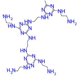 Cc1nc(NCCN)nc(NCCNc2nc(NCCN)nc(NCCNc3nc(NCCN)nc(NCCN)n3)n2)n1